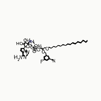 CCCCCCCCCCCCCCCCCOC[C@H](COP(=O)(O)OC[C@@]1(/C=N\C)O[C@@H](c2ccc3c(N)ncnn23)[C@H](O)[C@@H]1O)OCc1cc(F)cc(C#N)c1